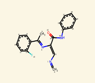 C=N/C=C(\N=C(/C)c1ccccc1F)C(=O)Nc1ccccc1